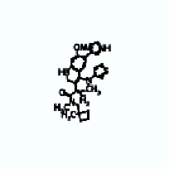 C=C(C(=O)N(C)CC1(C)CCC1)C1=C(N(C)c2ccsc2)c2cc(-c3cc[nH]c3)c(OC)cc2BC1